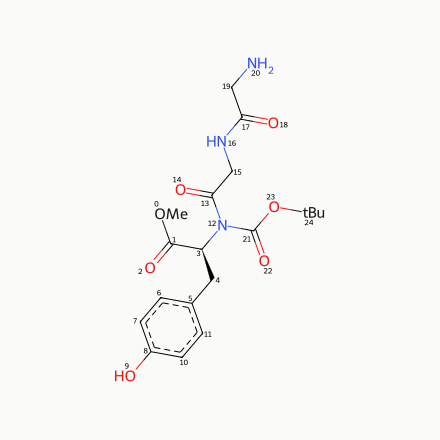 COC(=O)[C@H](Cc1ccc(O)cc1)N(C(=O)CNC(=O)CN)C(=O)OC(C)(C)C